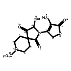 CC1=C(N2C(=O)C3(CCN(C(=O)O)CC3)C(=O)C2C(C)(C)C)COC1=O